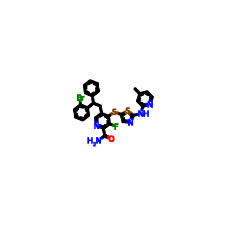 Cc1ccnc(Nc2ncc(Sc3c(CC(c4ccccc4)c4ccccc4Br)cnc(C(N)=O)c3F)s2)c1